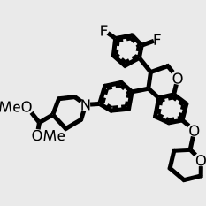 COC(OC)C1CCN(c2ccc(C3c4ccc(OC5CCCCO5)cc4OCC3c3ccc(F)cc3F)cc2)CC1